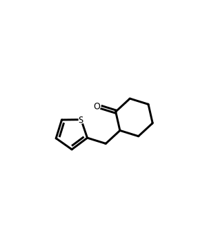 O=C1CCCCC1Cc1cccs1